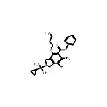 CCCCOc1c2c(c(F)c(C)c1C(=O)Oc1ccccc1)CN(C(C)(C)C1CC1)C2